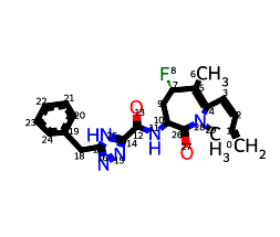 C=C/C=C\C1=C(C)[C@@H](F)CC(NC(=O)c2nnc(Cc3ccccc3)[nH]2)C(=O)N1C